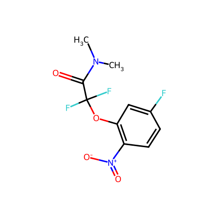 CN(C)C(=O)C(F)(F)Oc1cc(F)ccc1[N+](=O)[O-]